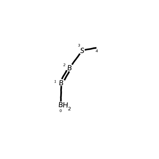 BB=BSC